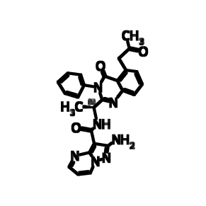 CC(=O)Cc1cccc2nc([C@H](C)NC(=O)c3c(N)nn4cccnc34)n(-c3ccccc3)c(=O)c12